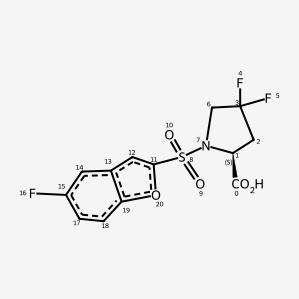 O=C(O)[C@@H]1CC(F)(F)CN1S(=O)(=O)c1cc2cc(F)ccc2o1